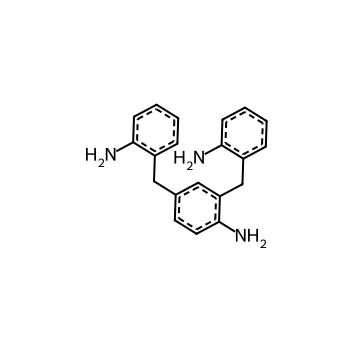 Nc1ccccc1Cc1ccc(N)c(Cc2ccccc2N)c1